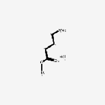 CCOC(=O)CCCNC.Cl